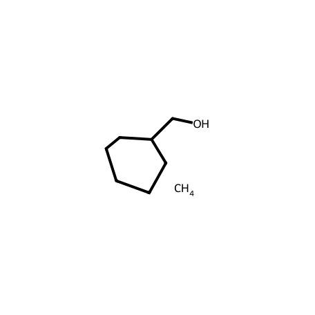 C.OCC1CCCCC1